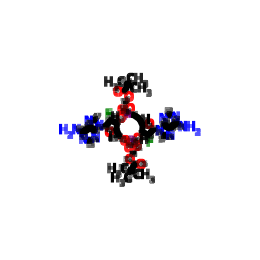 CC(C)(C)C(=O)OCOP1(=O)CC[C@H]2O[C@@H](n3cnc4c(N)ncnc43)[C@H](F)[C@@H]2OP(=O)(OCOC(=O)C(C)(C)C)OC[C@H]2O[C@@H](n3cnc4c(N)ncnc43)[C@H](F)[C@@H]2O1